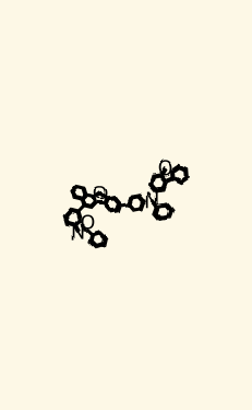 c1ccc(-c2nc3cccc(-c4cc5c6ccc(-c7ccc(N(c8ccccc8)c8ccc9oc%10ccccc%10c9c8)cc7)cc6oc5c5ccccc45)c3o2)cc1